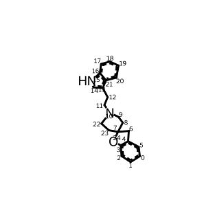 c1ccc2c(c1)CC1(CCN(CCc3c[nH]c4ccccc34)CC1)O2